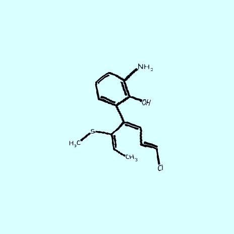 C\C=C(SC)/C(=C\C=C\Cl)c1cccc(N)c1O